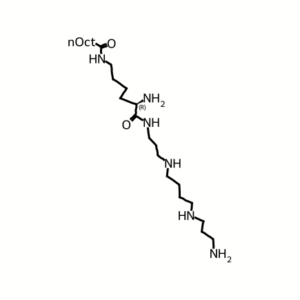 CCCCCCCCC(=O)NCCCC[C@@H](N)C(=O)NCCCNCCCCNCCCN